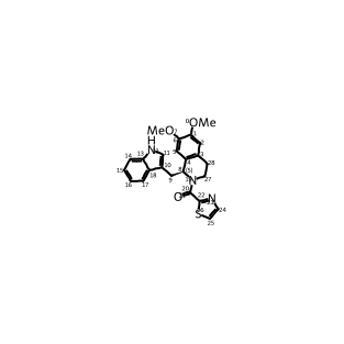 COc1cc2c(cc1OC)[C@H](Cc1c[nH]c3ccccc13)N(C(=O)c1nccs1)CC2